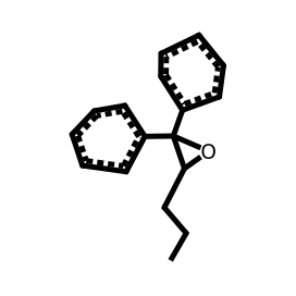 CCCC1OC1(c1ccccc1)c1ccccc1